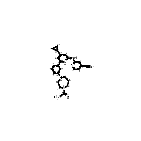 N#Cc1ccnc(Nc2cc(C3CC3)cc(-c3cccc(N4CCCN(C(N)=O)CC4)c3)n2)c1